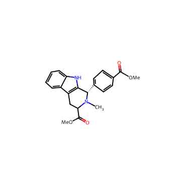 COC(=O)c1ccc([C@H]2c3[nH]c4ccccc4c3CC(C(=O)OC)N2C)cc1